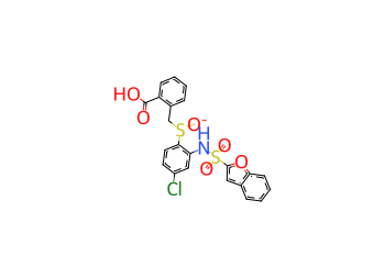 O=C(O)c1ccccc1C[S+]([O-])c1ccc(Cl)cc1NS(=O)(=O)c1cc2ccccc2o1